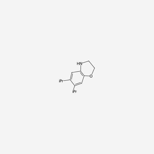 CC(C)c1cc2c(cc1C(C)C)OCCN2